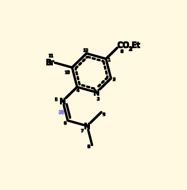 CCOC(=O)c1cnc(/N=C\N(C)C)c(Br)c1